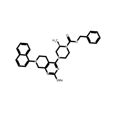 CSc1nc2c(c(N3CCN(C(=O)OCc4ccccc4)[C@H](C)C3)n1)CCN(c1cccc3ccccc13)C2